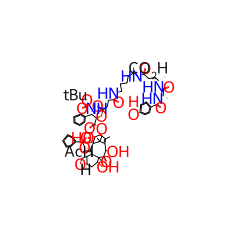 CC(=O)C[C@@]12CO[C@@H]1C[C@H](O)[C@@]1(C)C(=O)[C@H](O)C3=C(C)[C@@H](OC(=O)[C@H](OC(=O)CCC(=O)NCCCC[C@H](NC(=O)CC[C@H](C)NC(=O)[C@H](C)NC(=O)c4ccc(O)cc4)C(=O)O)[C@@H](NC(=O)OC(C)(C)C)c4ccccc4)C[C@@](O)([C@@H](OC(=O)c4ccccc4)[C@H]21)C3(C)C